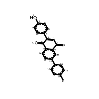 C=C1C=C(c2ccc(O)cc2)C(=O)c2ccc(-c3ccc(C)cc3)cc21